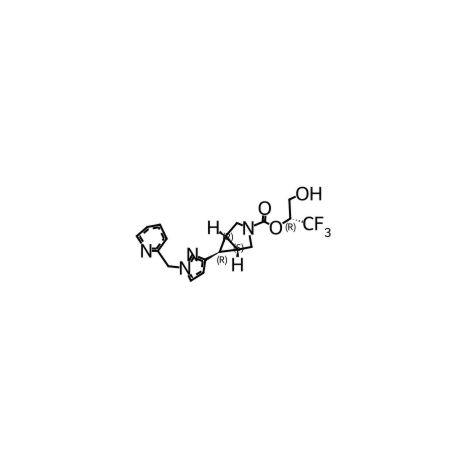 O=C(O[C@H](CO)C(F)(F)F)N1C[C@@H]2[C@H](C1)[C@H]2c1ccn(Cc2ccccn2)n1